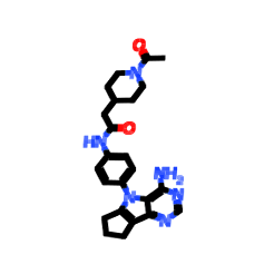 CC(=O)N1CCC(CC(=O)Nc2ccc(-n3c4c(c5ncnc(N)c53)CCC4)cc2)CC1